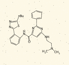 CCCCc1nnc(-c2ccccc2NC(=O)c2cc(NCCN(C)C)nc(-c3ccccc3)n2)s1